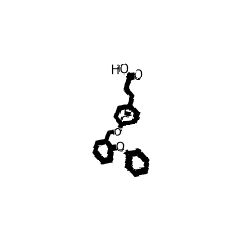 O=C(O)CCC12CCC(OCc3ccccc3Oc3ccccc3)(CC1)CC2